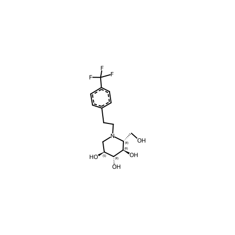 OC[C@@H]1[C@@H](O)[C@H](O)[C@@H](O)CN1CCc1ccc(C(F)(F)F)cc1